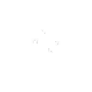 c1ccc(N2CN(c3ccccc3)NC(c3c4ccccc4cc4ccccc34)=N2)cc1